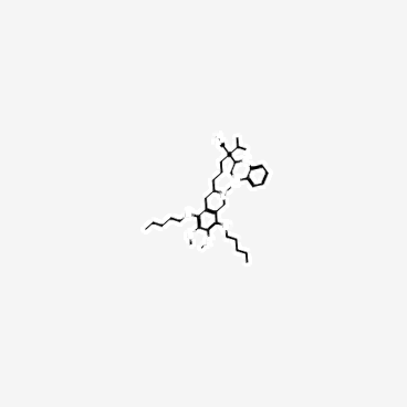 CCCCCOc1c2c(c(OCCCCC)c(OC)c1OC)CN(C)C(CCCC(C#N)(C(C)C)C1COc3ccccc3O1)C2